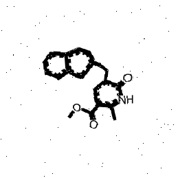 COC(=O)c1cc(Cc2ccc3ccccc3c2)c(=O)[nH]c1C